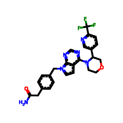 NC(=O)Cc1ccc(Cn2ccc3c(N4CCOCC4c4ccc(C(F)(F)F)nc4)ncnc32)cc1